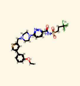 CCOc1cccc(-c2csc(CN3CCN(c4ccc(C(=O)NS(=O)(=O)CCC(F)(F)F)nn4)CC3)c2)c1